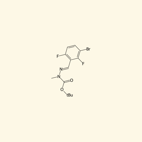 CN(/N=C/c1c(F)ccc(Br)c1F)C(=O)OC(C)(C)C